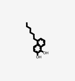 CCCCCCc1cccc2c(O)c(O)ccc12